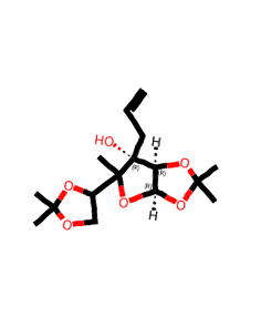 C=CC[C@@]1(O)[C@H]2OC(C)(C)O[C@H]2OC1(C)C1COC(C)(C)O1